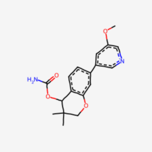 COc1cncc(-c2ccc3c(c2)OCC(C)(C)C3OC(N)=O)c1